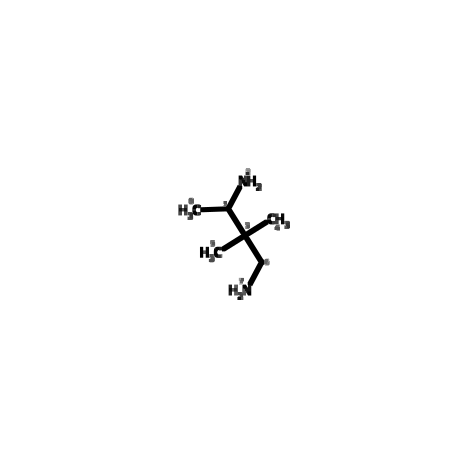 CC(N)C(C)(C)CN